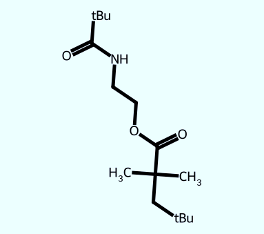 CC(C)(C)CC(C)(C)C(=O)OCCNC(=O)C(C)(C)C